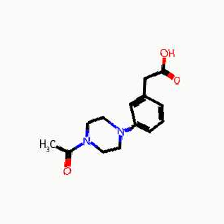 CC(=O)N1CCN(c2cccc(CC(=O)O)c2)CC1